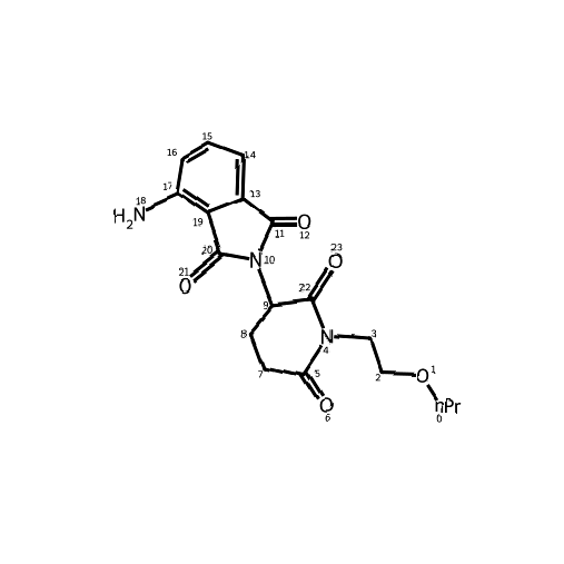 CCCOCCN1C(=O)CCC(N2C(=O)c3cccc(N)c3C2=O)C1=O